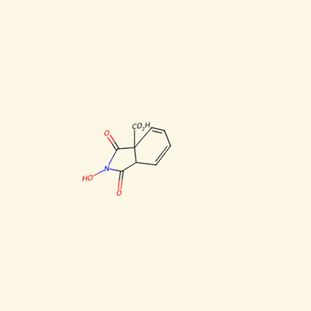 O=C1C2C=CC=CC2(C(=O)O)C(=O)N1O